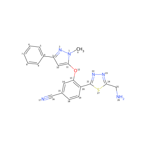 Cn1nc(-c2ccccc2)cc1Oc1cc(C#N)ccc1-c1nnc(CN)s1